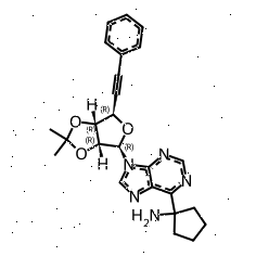 CC1(C)O[C@@H]2[C@H](O1)[C@@H](C#Cc1ccccc1)O[C@H]2n1cnc2c(C3(N)CCCC3)ncnc21